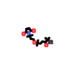 CCC(C)(C)C(=O)CCC(C)(C)OCCC(C)(C)N1C(=O)C=CC1=O